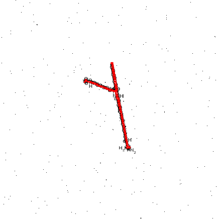 CCCOCCOCCOCCOCCOCCOCCNC(=O)C(CCCCNC(=O)CCOCCOCCOCCOCCOCCOCCOCCOCCOCCOCCOCCOCCNC(=O)CCCCC1SCC(N)C1N)NC(=O)CCOCCOCCOCCOCCOCCOCCNC(=O)CCN1C(=O)CCC1=O